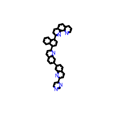 c1cnc2c(c1)ccc1ccc(-c3ccc(-c4ccc5ccc(-c6ccc7ccc(-c8ccncn8)nc7c6)cc5n4)c4ccccc34)nc12